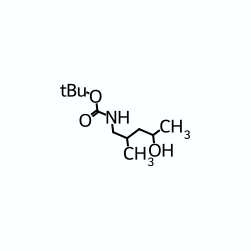 CC(O)CC(C)CNC(=O)OC(C)(C)C